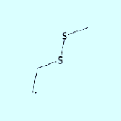 [CH2]CSSC